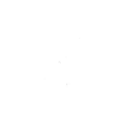 CC(C)CCC1(C)CCC(CC(C)C)C(C)(CCC(C)C)N1O